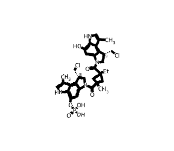 CCC1(C(=O)N2C[C@@H](CCl)c3c2cc(O)c2[nH]cc(C)c32)CC(C)(C(=O)N2C[C@@H](CCl)c3c2cc(OP(=O)(O)O)c2[nH]cc(C)c32)C1